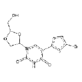 O=c1[nH]c(=O)n(C2COC(CO)O2)cc1-c1ccc(Br)s1